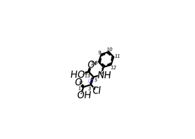 O=C(O)/C(Cl)=C(/Nc1ccccc1)C(=O)O